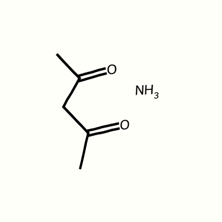 CC(=O)CC(C)=O.N